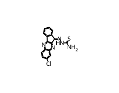 NC(=S)NN=C1c2ccccc2-c2nc3ccc(Cl)cc3nc21